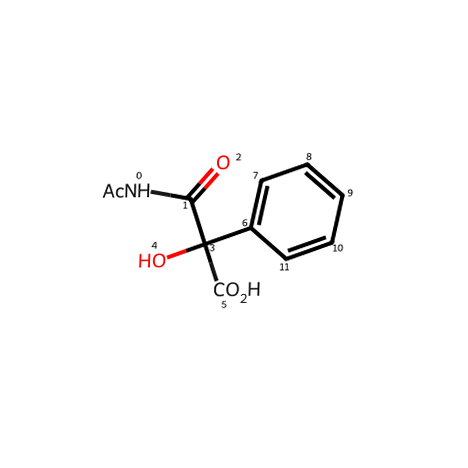 CC(=O)NC(=O)C(O)(C(=O)O)c1ccccc1